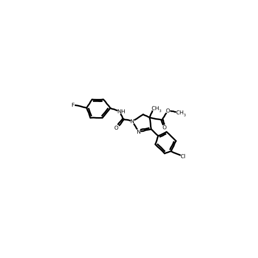 COC(=O)C1(C)CN(C(=O)Nc2ccc(F)cc2)N=C1c1ccc(Cl)cc1